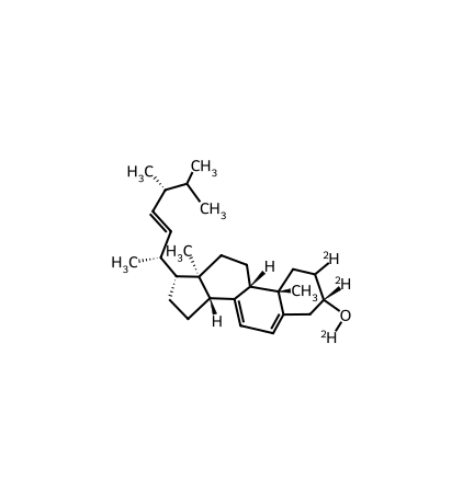 [2H]O[C@]1([2H])CC2=CC=C3[C@@H]4CC[C@H]([C@H](C)C=C[C@H](C)C(C)C)[C@@]4(C)CC[C@@H]3[C@]2(C)CC1[2H]